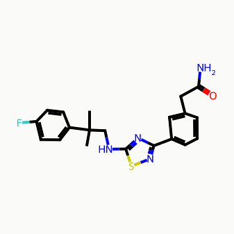 CC(C)(CNc1nc(-c2cccc(CC(N)=O)c2)ns1)c1ccc(F)cc1